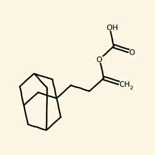 C=C(CCC12CC3CC(CC(C3)C1)C2)OC(=O)O